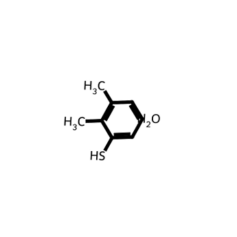 Cc1cccc(S)c1C.O